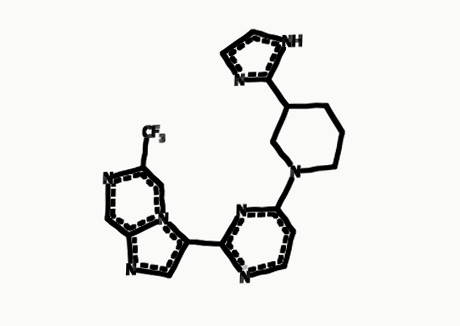 FC(F)(F)c1cn2c(-c3nccc(N4CCCC(c5ncc[nH]5)C4)n3)cnc2cn1